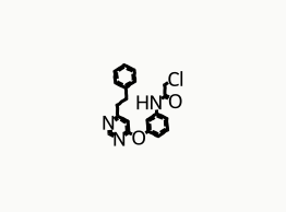 O=C(CCl)Nc1cccc(Oc2cc(CCc3ccccc3)ncn2)c1